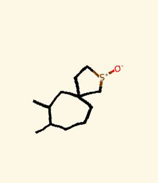 CC1CCCC2(CC[S+]([O-])C2)CC1C